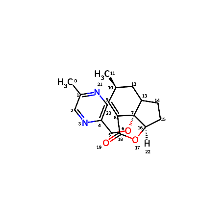 Cc1cnc(CO[C@]23C4=C[C@@H](C)CC2CC[C@H]3OC4=O)cn1